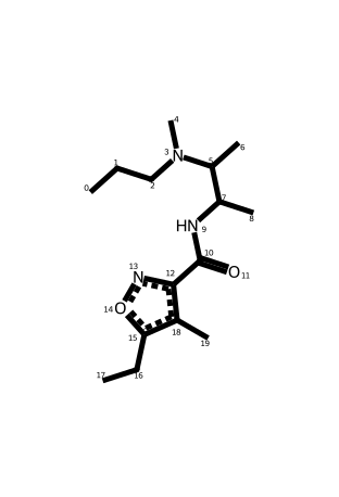 CCCN(C)C(C)C(C)NC(=O)c1noc(CC)c1C